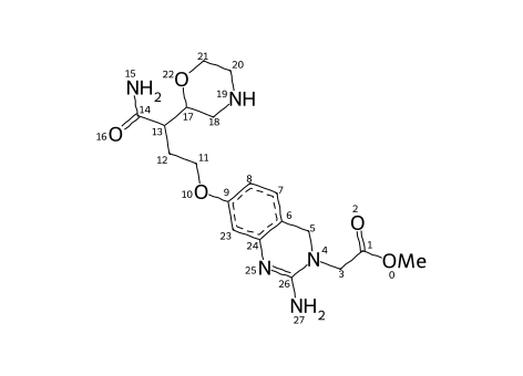 COC(=O)CN1Cc2ccc(OCCC(C(N)=O)C3CNCCO3)cc2N=C1N